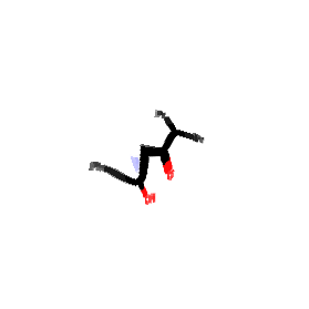 CC(C)/C(O)=C/C(=O)C(C(C)C)C(C)C